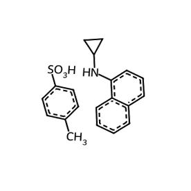 Cc1ccc(S(=O)(=O)O)cc1.c1ccc2c(NC3CC3)cccc2c1